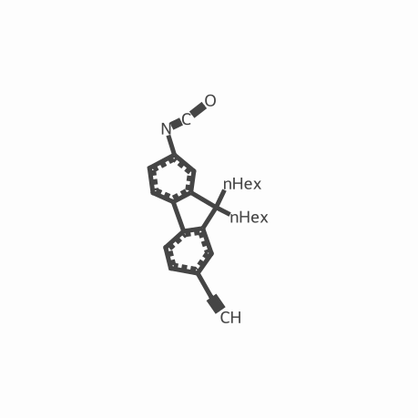 C#Cc1ccc2c(c1)C(CCCCCC)(CCCCCC)c1cc(N=C=O)ccc1-2